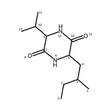 CCC(C)CC1NC(=O)C(C(C)C)NC1=O